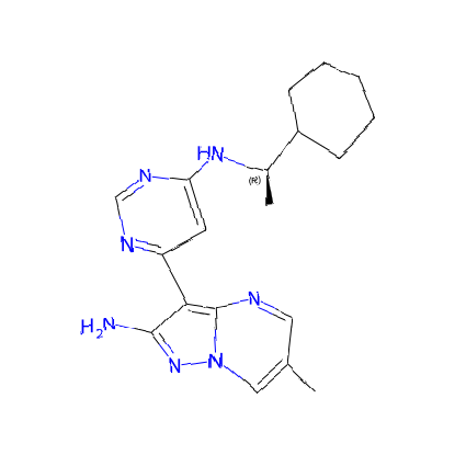 Cc1cnc2c(-c3cc(N[C@H](C)C4CCCCC4)ncn3)c(N)nn2c1